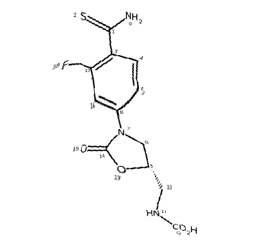 NC(=S)c1ccc(N2C[C@H](CNC(=O)O)OC2=O)cc1F